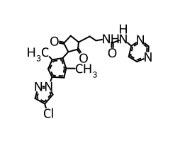 Cc1cc(-n2cc(Cl)cn2)cc(C)c1C1C(=O)CC(CCNC(=O)Nc2ccncn2)C1=O